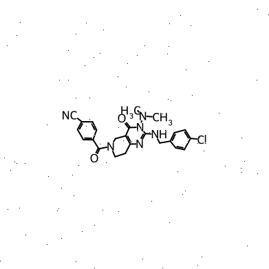 CN(C)n1c(NCc2ccc(Cl)cc2)nc2c(c1=O)CN(C(=O)c1ccc(C#N)cc1)CC2